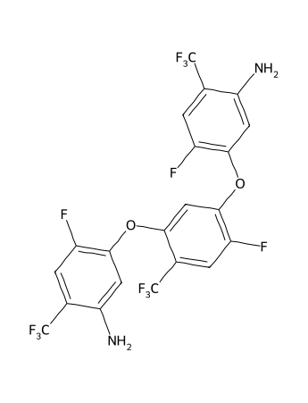 Nc1cc(Oc2cc(Oc3cc(N)c(C(F)(F)F)cc3F)c(C(F)(F)F)cc2F)c(F)cc1C(F)(F)F